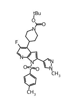 Cc1ccc(S(=O)(=O)n2c(-c3cnn(C)c3)cc3c(C4CCN(C(=O)OC(C)(C)C)CC4)c(F)cnc32)cc1